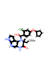 COCC1(C)C(=O)Nc2cnc3[nH]ccc3c2N1C(O)c1ccc(OC2CCCC2)cc1Cl